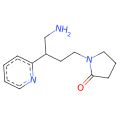 NCC(CCN1CCCC1=O)c1ccccn1